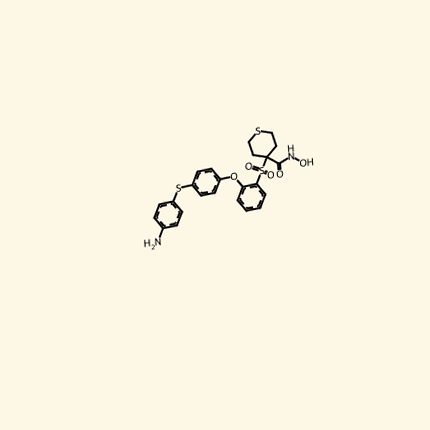 Nc1ccc(Sc2ccc(Oc3ccccc3S(=O)(=O)C3(C(=O)NO)CCSCC3)cc2)cc1